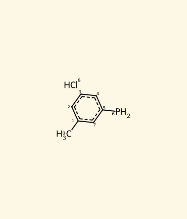 Cc1cccc(P)c1.Cl